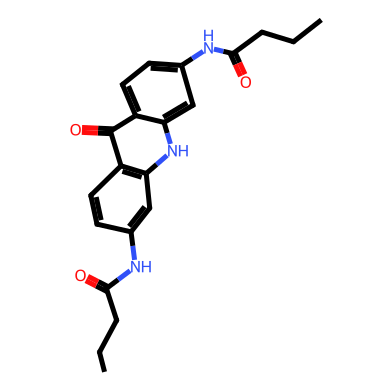 CCCC(=O)Nc1ccc2c(=O)c3ccc(NC(=O)CCC)cc3[nH]c2c1